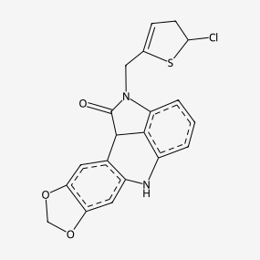 O=C1C2c3cc4c(cc3Nc3cccc(c32)N1CC1=CCC(Cl)S1)OCO4